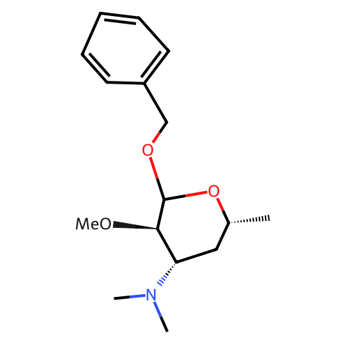 CO[C@H]1C(OCc2ccccc2)O[C@H](C)C[C@@H]1N(C)C